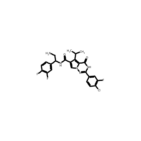 CC(C)c1c(C(=O)NC(CN)c2ccc(F)c(F)c2)cn2nc(-c3ccc(Cl)c(F)c3)[nH]c(=O)c12